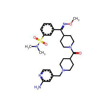 CON=C(c1cccc(S(=O)(=O)N(C)C)c1)C1CCN(C(=O)C2CCN(Cc3ccnc(N)c3)CC2)CC1